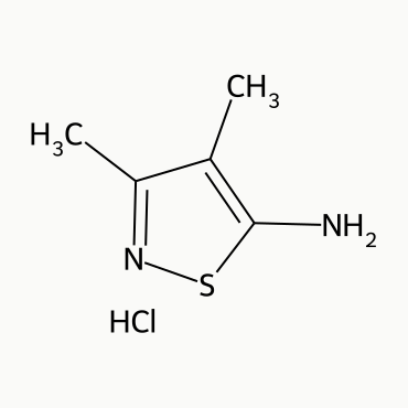 Cc1nsc(N)c1C.Cl